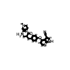 CN1CC2CC1CN2C(=O)C(CN)Cc1ccc(Oc2ccnc3[nH]cc(C#N)c23)cc1